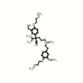 COCCOc1ccc(C(C#N)(CCCN(C)CCc2ccc(OCCOC)c(OC)c2)C(C)C)cc1CO